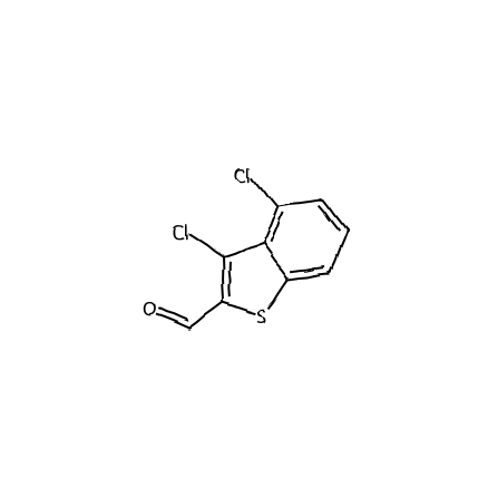 O=Cc1sc2cccc(Cl)c2c1Cl